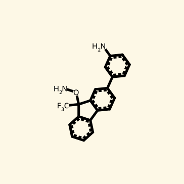 NOC1(C(F)(F)F)c2ccccc2-c2ccc(-c3cccc(N)c3)cc21